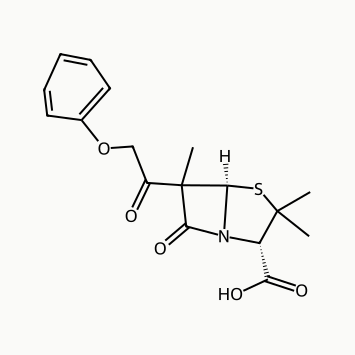 CC1(C)S[C@H]2N(C(=O)C2(C)C(=O)COc2ccccc2)[C@H]1C(=O)O